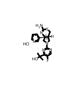 CC(C)(O)c1nc(N2C[C@H]3CSC(N)=N[C@@]3(c3cccnc3)C2)ncc1F.Cl